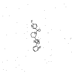 O=C(c1ccc(F)nc1)N1CCCC(c2noc(-c3ccccc3F)n2)C1